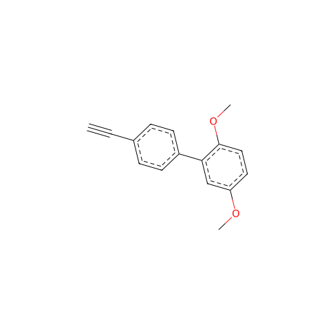 C#Cc1ccc(-c2cc(OC)ccc2OC)cc1